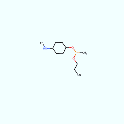 CP(OCCC#N)OC1CCC([NH][Rf])CC1